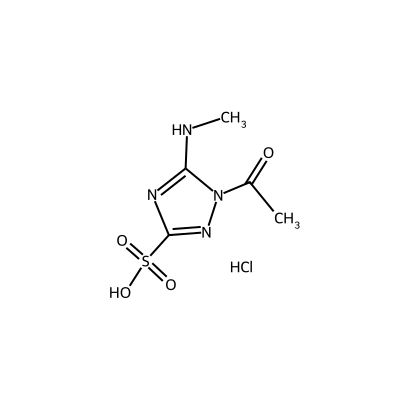 CNc1nc(S(=O)(=O)O)nn1C(C)=O.Cl